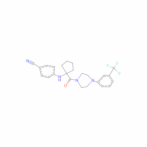 N#Cc1ccc(NC2(C(=O)N3CCN(c4cccc(C(F)(F)F)c4)CC3)CCCC2)cc1